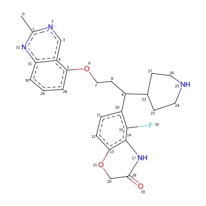 Cc1ncc2c(OCCC(c3ccc4c(c3F)NC(=O)CO4)C3CCNCC3)cccc2n1